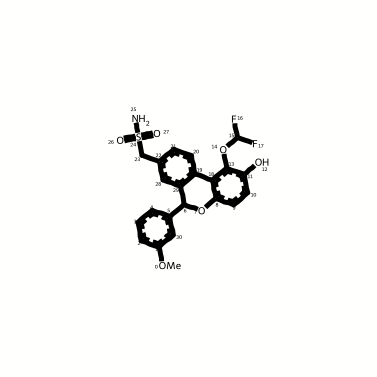 COc1cccc(C2Oc3ccc(O)c(OC(F)F)c3-c3ccc(CS(N)(=O)=O)cc32)c1